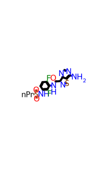 CCCS(=O)(=O)Nc1ccc(F)c(NC(=O)c2nsc3c(N)ncnc23)c1F